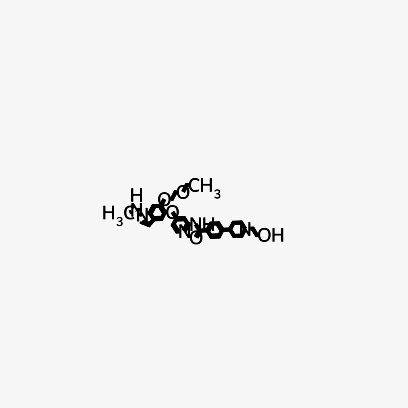 CCOCCOc1cc2c(ccn2NC)cc1Oc1ccnc(NC(=O)c2ccc(C3CCN(CCO)CC3)cc2)c1